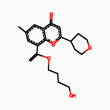 C=C(OCCCCO)c1cc(C)cc2c(=O)cc(C3CCOCC3)oc12